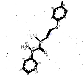 NN(/C=C/Sc1ccc(F)cc1)C(=O)N(N)c1cccnc1